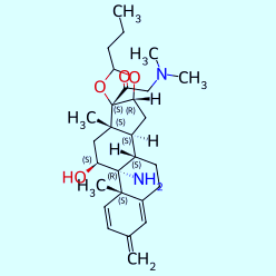 C=C1C=C[C@@]2(C)C(=C1)CC[C@H]1[C@@H]3C[C@H]4OC(CCC)O[C@@]4(C(=O)CN(C)C)[C@@]3(C)C[C@H](O)[C@@]12N